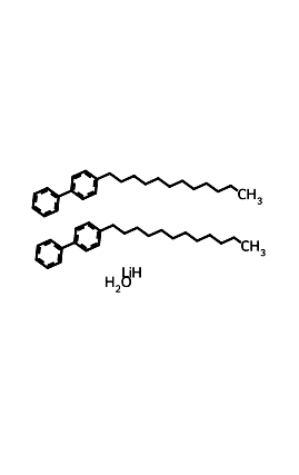 CCCCCCCCCCCCc1ccc(-c2ccccc2)cc1.CCCCCCCCCCCCc1ccc(-c2ccccc2)cc1.O.[LiH]